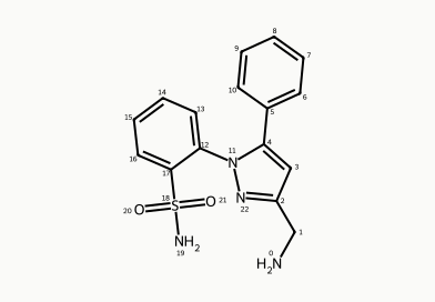 NCc1cc(-c2ccccc2)n(-c2ccccc2S(N)(=O)=O)n1